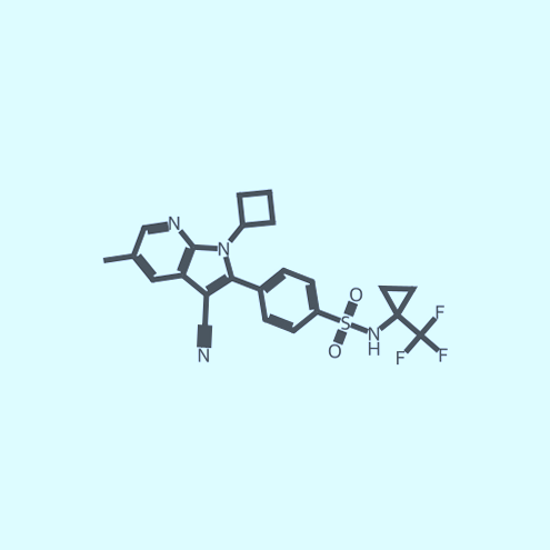 Cc1cnc2c(c1)c(C#N)c(-c1ccc(S(=O)(=O)NC3(C(F)(F)F)CC3)cc1)n2C1CCC1